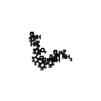 COc1nc(-c2cccc(-c3cccc(-c4ccc5nc(C(=O)NC[C@H](C)N)cn5n4)c3Cl)c2Cl)ccc1CNC[C@@H]1CCC(=O)N1